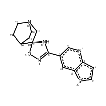 c1cc2ncc(C3=NO[C@]4(CN5CCC4CC5)N3)cc2s1